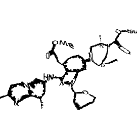 COC(=O)c1cc(N2C[C@H](C)N(C(=O)OC(C)(C)C)[C@@H](C)C2)cc2c1c(Nc1cc(F)c3nc(C)cn3c1)nn2C1CCCCO1